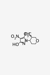 Cc1c([N+](=O)[O-])c(O)nn1C1CCOCC1C(F)(F)F